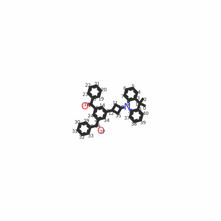 CC1(C)c2ccccc2N(C2CC(c3cc(C(=O)c4ccccc4)cc(C(=O)c4ccccc4)c3)C2)c2ccccc21